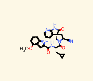 COc1cccc2[nH]c(C(=O)N[C@@H](CC3CC3)C(=O)N3C[C@@]4(CC3C#N)C(=O)Nc3ncccc34)cc12